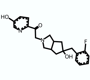 O=C(CN1CC2CC(O)(Cc3ccccc3F)CC2C1)c1ccc(O)cn1